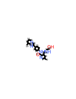 Cc1cnc(C(=O)Nc2ccc(-c3cn4cccc(C)c4n3)cc2)c(CNCCO)c1